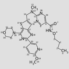 CCCCONC(=O)c1cnc(N(C)Cc2cc3nc(-c4ccc(OC)nc4)nc(N4CCOCC4)c3s2)nc1